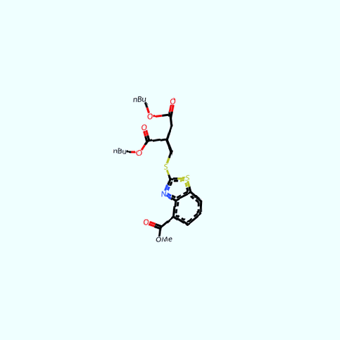 CCCCOC(=O)CC(CSc1nc2c(C(=O)OC)cccc2s1)C(=O)OCCCC